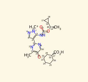 Cc1nc(-c2cnn(C)c2NC(=O)O[C@H](C)C2CC2)ncc1O[C@H]1CCC[C@H](C(=O)O)C1